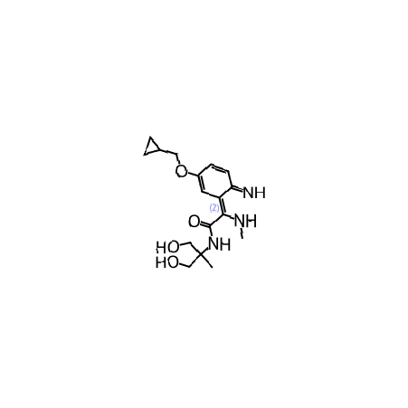 CN/C(C(=O)NC(C)(CO)CO)=C1/C=C(OCC2CC2)C=CC1=N